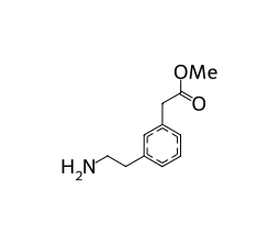 COC(=O)Cc1cccc(CCN)c1